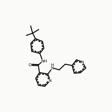 CC(C)(C)c1ccc(NC(=O)c2cccnc2NCCc2cccnc2)cc1